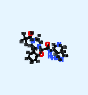 C[C@@H]1CN(C(=O)C(=O)Nc2cncc3cn[nH]c23)[C@@H](c2ccccc2)CN1C(=O)C(C)(C)C